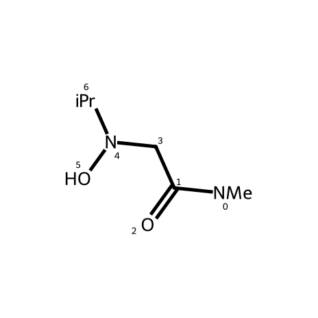 CNC(=O)CN(O)C(C)C